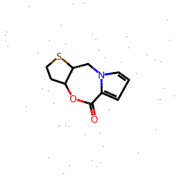 O=C1OC2CCSC2Cn2cccc21